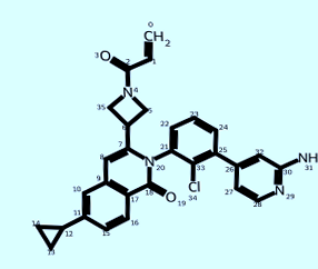 C=CC(=O)N1CC(c2cc3cc(C4CC4)ccc3c(=O)n2-c2cccc(-c3ccnc(N)c3)c2Cl)C1